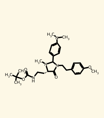 COc1ccc(CCN2C(=O)[C@H](CCNC(=O)OC(C)(C)C)N(C)C2c2ccc(N(C)C)cc2)cc1